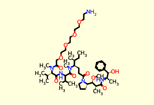 CC[C@H](C)[C@@H](CCC(=O)N1CCC[C@H]1[C@H](OC)[C@@H](C)C(=O)N[C@H](C)[C@@H](O)c1ccccc1)N(C)C(=O)C(NC(=O)[C@H](C(C)C)N(C)C(=O)COCCOCCOCCOCCN)C(C)C